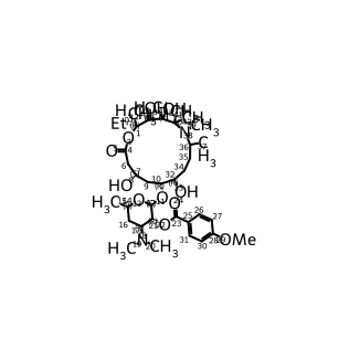 CC[C@@]1(C)OC(=O)C[C@@H](O)C[C@@H](O[C@@H]2O[C@H](C)C[C@H](N(C)C)[C@H]2OC(=O)c2ccc(OC)cc2)[C@H](O)CCC(C)N(C)C(C)(C)[C@@](C)(O)[C@]1(C)O